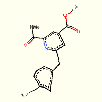 CNC(=O)c1cc(C(=O)OC(C)(C)C)cc(Cc2ccc(OC)cc2)n1